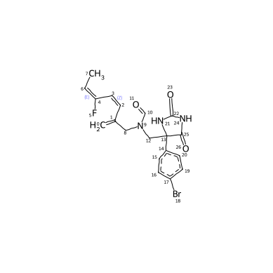 C=C(/C=C\C(F)=C/C)CN(C=O)CC1(c2ccc(Br)cc2)NC(=O)NC1=O